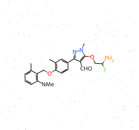 CNc1cccc(C)c1COc1ccc(-c2nn(C)c(OCC(F)P)c2C=O)cc1C